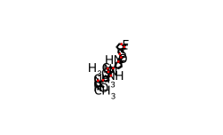 CN1CCN(C)C(c2ccc(Nc3nc(-c4ccc(F)c(NC(=O)c5cc6c(s5)C(F)(F)CCC6)c4)cn(C)c3=O)cc2)C1=O